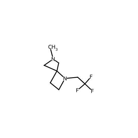 CN1CC2(CCN2CC(F)(F)F)C1